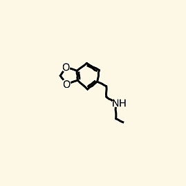 CCNCCc1ccc2c(c1)OCO2